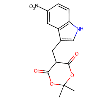 CC1(C)OC(=O)C(Cc2c[nH]c3ccc([N+](=O)[O-])cc23)C(=O)O1